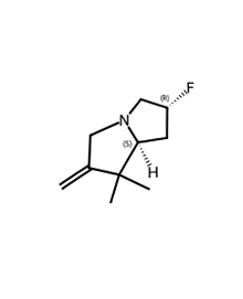 C=C1CN2C[C@H](F)C[C@H]2C1(C)C